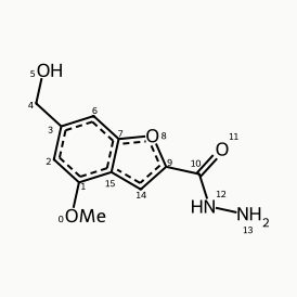 COc1cc(CO)cc2oc(C(=O)NN)cc12